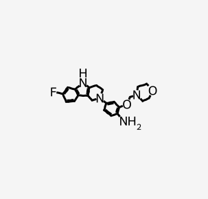 Nc1ccc(N2CCc3[nH]c4cc(F)ccc4c3C2)cc1OCN1CCOCC1